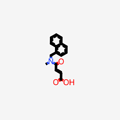 CN(Cc1cccc2ccccc12)C(=O)C=CC(=O)O